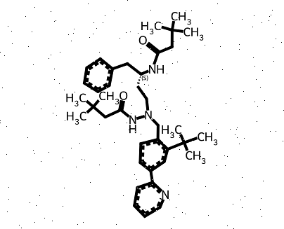 CC(C)(C)CC(=O)N[C@H](CCN(Cc1ccc(-c2ccccn2)cc1C(C)(C)C)NC(=O)CC(C)(C)C)Cc1ccccc1